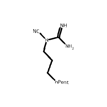 CCCCCCCCN(C#N)C(=N)N